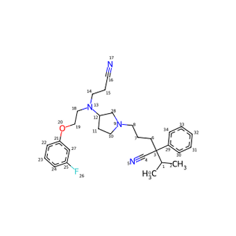 CC(C)C(C#N)(CCCN1CCC(N(CCC#N)CCOc2cccc(F)c2)C1)c1ccccc1